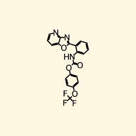 O=C(Nc1ccccc1-c1nc2ncccc2o1)Oc1ccc(OC(F)(F)F)cc1